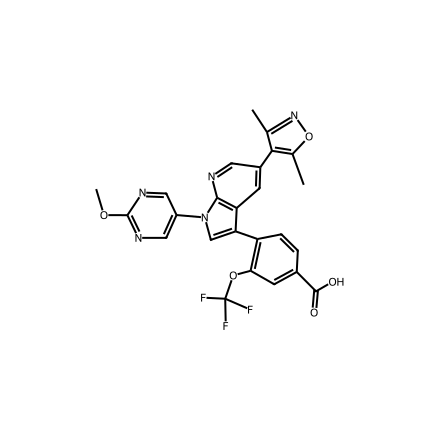 COc1ncc(-n2cc(-c3ccc(C(=O)O)cc3OC(F)(F)F)c3cc(-c4c(C)noc4C)cnc32)cn1